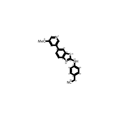 COc1cncc(-c2ccc3nc(Nc4ccc(CC#N)cc4)sc3c2)c1